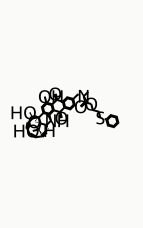 C[C@@H](O)[C@@]12O[C@]13c1cc(O)c4c(c1N[C@H]2C#C/C=C\C#C[C@H]3O)C(=O)c1ccc(CN(C)C(=O)OCCSc2ccccc2)cc1C4=O